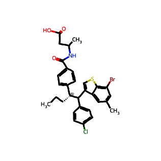 CCC[C@H](c1ccc(C(=O)NC(C)CC(=O)O)cc1)C(c1ccc(Cl)cc1)c1csc2c(Br)cc(C)cc12